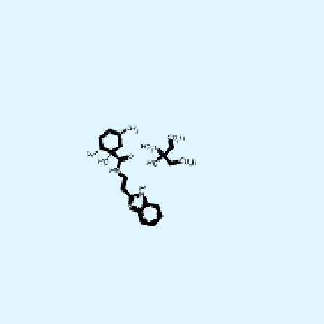 CC(C)[C@@H]1CC[C@@H](C)C[C@@]1(O)C(=O)NCCc1nc2ccccc2[nH]1.O=C(O)CC(O)(CC(=O)O)C(=O)O